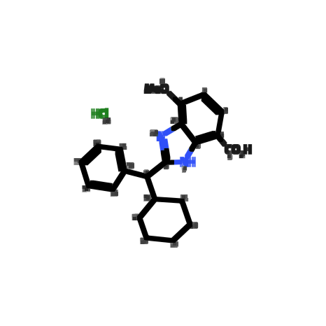 COc1ccc(C(=O)O)c2[nH]c(C(c3ccccc3)C3CCCCC3)nc12.Cl